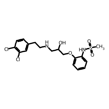 CS(=O)(=O)Nc1ccccc1OCC(O)CNCCc1ccc(Cl)c(Cl)c1